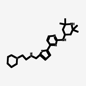 CC1(C)CC(Nc2nccc(-c3ccc(CNCCN4CCCCC4)s3)n2)CC(C)(C)N1